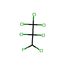 FC(Cl)C(Cl)(Cl)C(Cl)(Cl)Cl